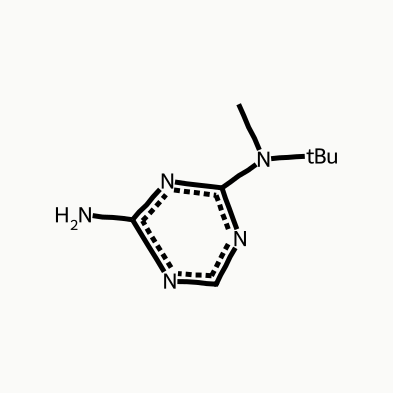 CN(c1ncnc(N)n1)C(C)(C)C